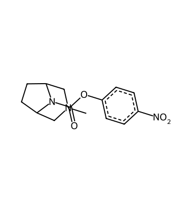 CN1CC2CCC(C1)N2C(=O)Oc1ccc([N+](=O)[O-])cc1